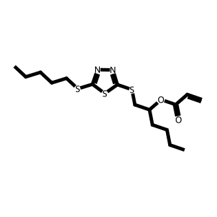 C=CC(=O)OC(CCCC)CSc1nnc(SCCCCC)s1